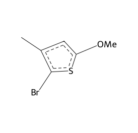 COc1cc(C)c(Br)s1